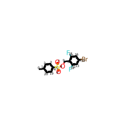 Cc1ccc(S(=O)(=O)OCc2c(F)cc(Br)cc2F)cc1